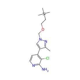 Cc1nn(COCC[Si](C)(C)C)cc1-c1ccnc(N)c1Cl